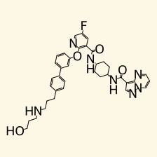 O=C(N[C@H]1CC[C@H](NC(=O)c2cnn3cccnc23)CC1)c1cc(F)cnc1Oc1cccc(-c2ccc(CCCNCCCO)cc2)c1